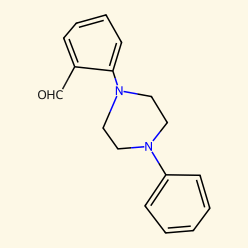 O=Cc1ccccc1N1CCN(c2ccccc2)CC1